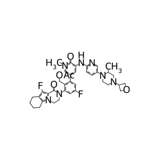 CC(=O)OCc1c(-c2cc(Nc3ccc(N4CCN(C5COC5)CC4C)cn3)c(=O)n(C)c2)cc(F)cc1N1CCn2c3c(c(F)c2C1=O)CCCC3